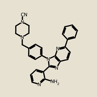 N#CN1CCN(Cc2ccc(-n3c(-c4cccnc4N)nc4ccc(-c5ccccc5)nc43)cc2)CC1